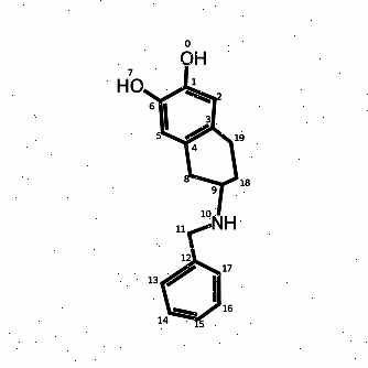 Oc1cc2c(cc1O)CC(NCc1ccccc1)CC2